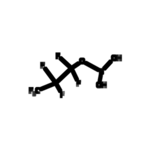 OB(O)OC(F)(F)C(F)(F)C(F)(F)F